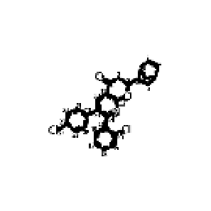 O=C1CC(C2CC3C=CC2C3)Oc2nc(-c3ccccc3Cl)c(-c3ccc(Cl)cc3)cc21